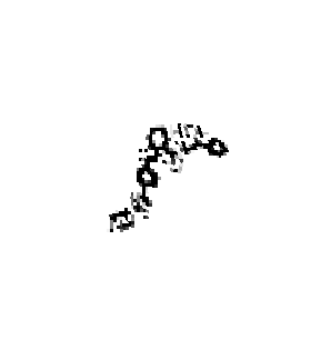 CN1CCN(c2nc(-c3ccc(C(=O)NC4(C(=O)NCC(O)c5ccccc5)CCCCC4)cc3)cs2)CC1